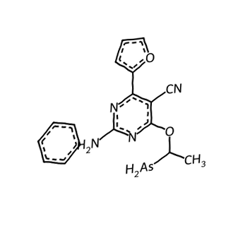 CC([AsH2])Oc1nc(N)nc(-c2ccco2)c1C#N.c1ccccc1